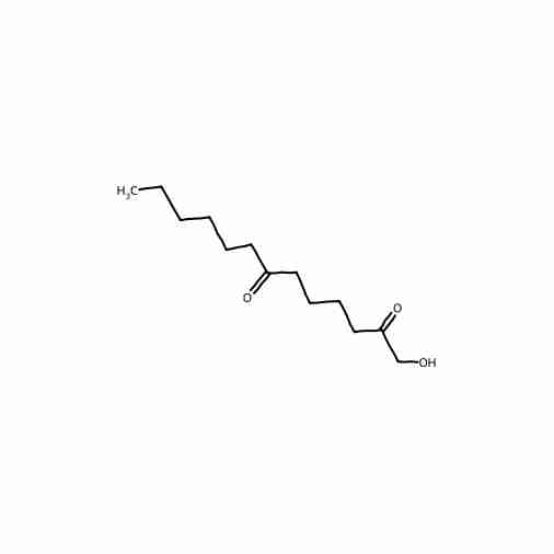 CCCCCCC(=O)CCCCC(=O)CO